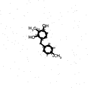 Cc1ccc(Cc2ccc(O)c(C)c2O)cc1